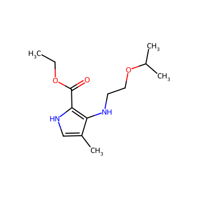 CCOC(=O)c1[nH]cc(C)c1NCCOC(C)C